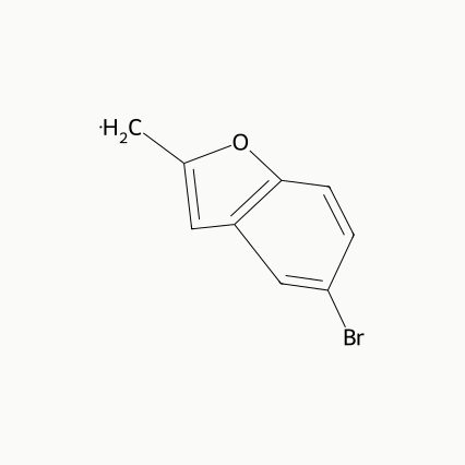 [CH2]c1cc2cc(Br)ccc2o1